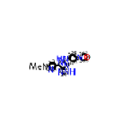 CNc1ccc(-c2nc(Nc3ccc(N4CCOCC4)cc3)nc3[nH]cnc23)cn1